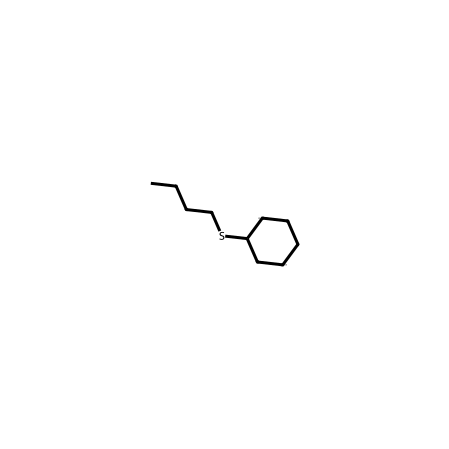 CCCCSC1[CH]CC[CH]C1